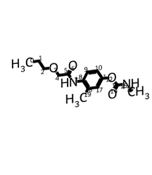 CCCOCC(=O)Nc1ccc(OC(=O)NC)cc1C